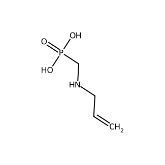 C=CCNCP(=O)(O)O